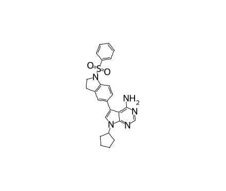 Nc1ncnc2c1c(-c1ccc3c(c1)CCN3S(=O)(=O)c1ccccc1)cn2C1CCCC1